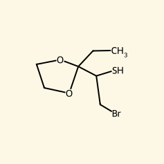 CCC1(C(S)CBr)OCCO1